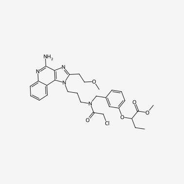 CCC(Oc1cccc(CN(CCCn2c(CCOC)nc3c(N)nc4ccccc4c32)C(=O)CCl)c1)C(=O)OC